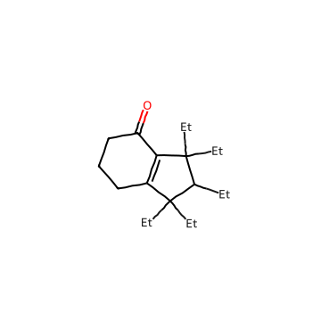 CCC1C(CC)(CC)C2=C(C(=O)CCC2)C1(CC)CC